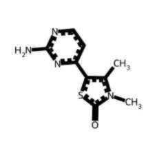 Cc1c(-c2ccnc(N)n2)sc(=O)n1C